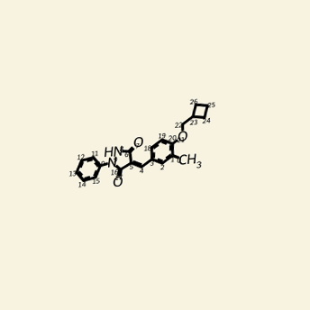 Cc1cc(/C=C2\C(=O)NN(c3ccccc3)C2=O)ccc1OCC1CCC1